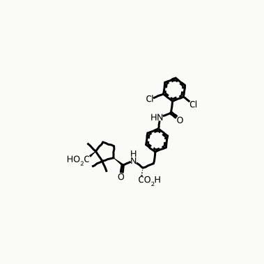 CC1(C)[C@H](C(=O)N[C@H](Cc2ccc(NC(=O)c3c(Cl)cccc3Cl)cc2)C(=O)O)CC[C@]1(C)C(=O)O